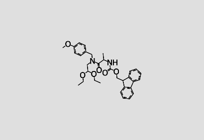 CCOC(CN(Cc1ccc(OC)cc1)C(=O)C(C)NC(=O)OCC1c2ccccc2-c2ccccc21)OCC